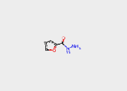 NNC(=O)c1cbco1